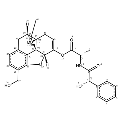 C[C@H](NC(=O)[C@@H](O)c1ccccc1)C(=O)OC1=CC[C@@]2(O)[C@H]3Cc4ccc(CO)c5c4[C@@]2(CCN3C)[C@H]1O5